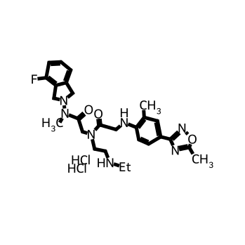 CCNCCN(CC(=O)N(C)N1Cc2cccc(F)c2C1)C(=O)CNc1ccc(-c2noc(C)n2)cc1C.Cl.Cl